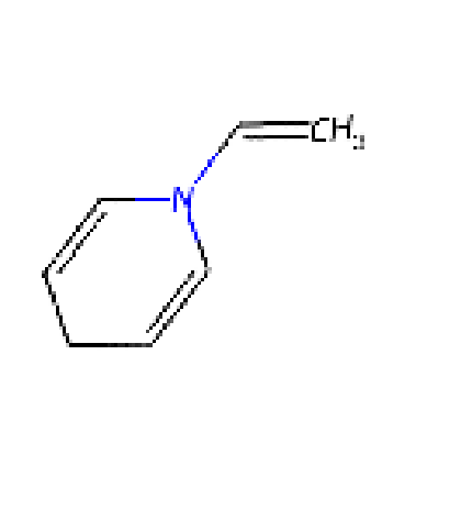 C=CN1C=CCC=C1